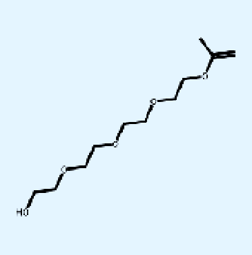 C=C(C)OCCOCCOCCOCCO